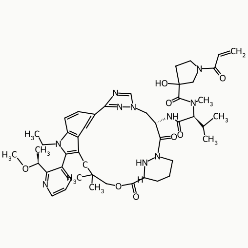 C=CC(=O)N1CCC(O)(C(=O)N(C)[C@H](C(=O)N[C@H]2Cn3cnc(n3)-c3ccc4c(c3)c(c(-c3cccnc3[C@H](C)OC)n4CC)CC(C)(C)COC(=O)[C@@H]3CCCN(N3)C2=O)C(C)C)C1